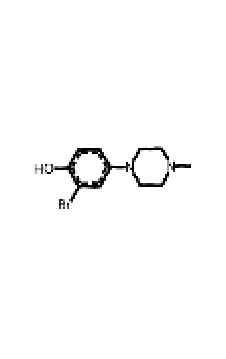 CN1CCN(c2ccc(O)c(Br)c2)CC1